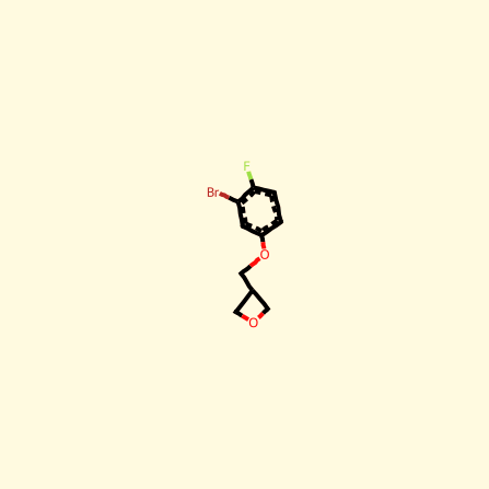 Fc1ccc(OCC2COC2)cc1Br